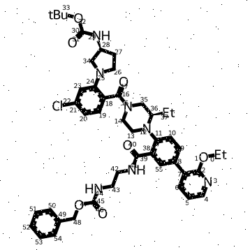 CCOc1ncccc1-c1ccc(N2CCN(C(=O)c3ccc(Cl)cc3N3CC[C@H](NC(=O)OC(C)(C)C)C3)C[C@H]2CC)c(C(=O)NCCNC(=O)OCc2ccccc2)c1